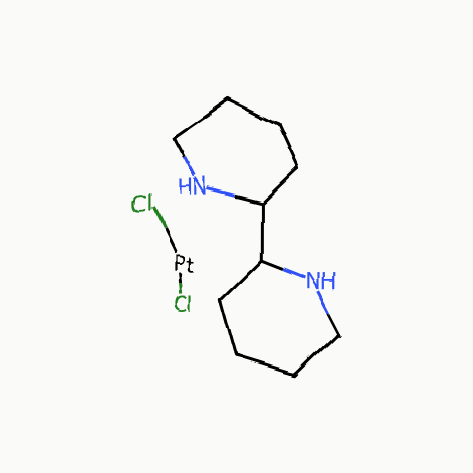 C1CCC(C2CCCCN2)NC1.[Cl][Pt][Cl]